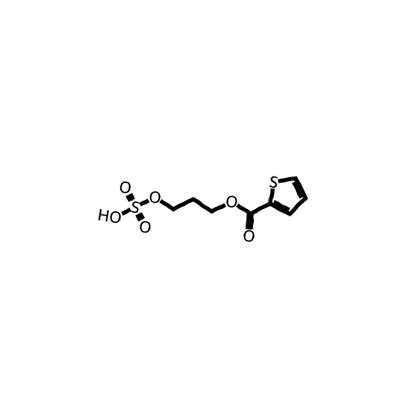 O=C(OCCCOS(=O)(=O)O)c1cccs1